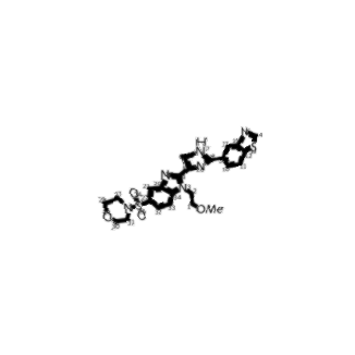 COCCn1c(-c2c[nH]c(-c3ccc4scnc4c3)n2)nc2cc(S(=O)(=O)N3CCOCC3)ccc21